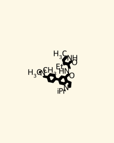 CCc1cc(C)[nH]c(=O)c1CNC(=O)c1cc(-c2ccc(CN(C)C)cc2)cc2c1ccn2C(C)C